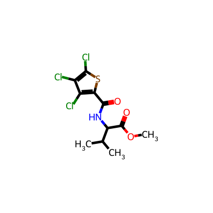 COC(=O)C(NC(=O)c1sc(Cl)c(Cl)c1Cl)C(C)C